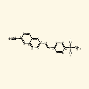 N#Cc1ccc2cc(/C=C/c3ccc(S(N)(=O)=O)cc3)ccc2c1